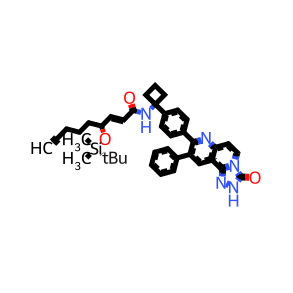 C#CCCCC(/C=C/C(=O)NC1(c2ccc(-c3nc4ccn5c(=O)[nH]nc5c4cc3-c3ccccc3)cc2)CCC1)O[Si](C)(C)C(C)(C)C